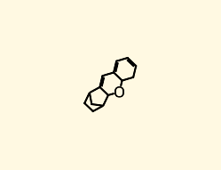 C1=CCC2OC3C(=CC2=C1)C1CCC3C1